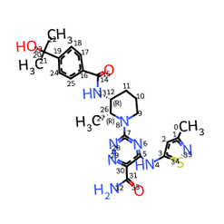 Cc1cc(Nc2nc(N3CCC[C@@H](NC(=O)c4ccc(C(C)(C)O)cc4)[C@H]3C)nnc2C(N)=O)sn1